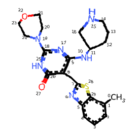 Cc1cccc2nc(-c3c(N[C@@H]4CCCNC4)nc(N4CCOCC4)[nH]c3=O)sc12